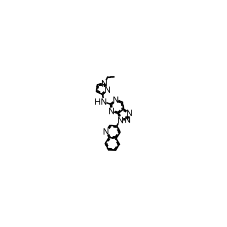 CCn1ccc(Nc2ncc3nnn(-c4cnc5ccccc5c4)c3n2)n1